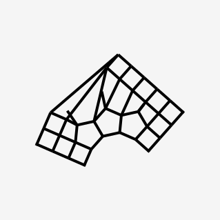 CC12C34C5CC3C3C6C7CC8C9CC%10C%11C%12C%13C%14C%15C%16CC5C%164C%151C%141C32C2(C)C63C4(C)C87C9%10C%114C%123C%1321